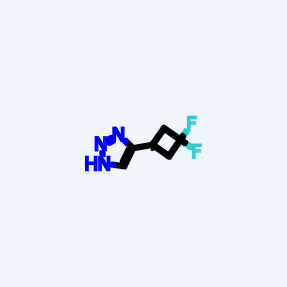 FC1(F)C[C](c2c[nH]nn2)C1